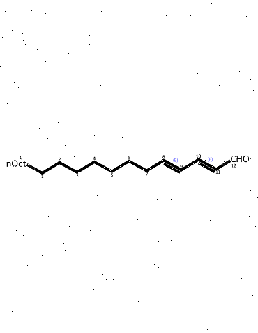 CCCCCCCCCCCCCCC/C=C/C=C/[C]=O